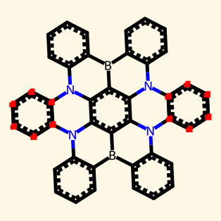 c1ccc(N2c3ccccc3B3c4ccccc4N(c4ccccc4)c4c3c2c2c3c4N(c4ccccc4)c4ccccc4B3c3ccccc3N2c2ccccc2)cc1